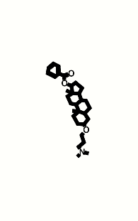 CN(C)CCCOC1CCC2(C)C(CCC3C2CCC2(C)C(OC(=O)c4ccccc4)CCC32)C1